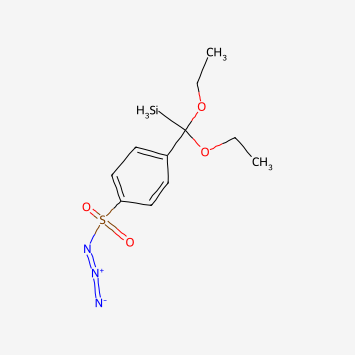 CCOC([SiH3])(OCC)c1ccc(S(=O)(=O)N=[N+]=[N-])cc1